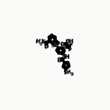 NC(=O)c1cccc2cn(-c3ccc(NC(=O)[C@H]4CC[C@@H](N)C4)cc3)nc12.O=C(O)C(F)(F)F